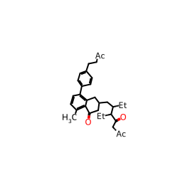 CCC(CC1CC(=O)c2c(C)ccc(-c3ccc(CCC(C)=O)cc3)c2C1)C(CC)C(=O)CC(C)=O